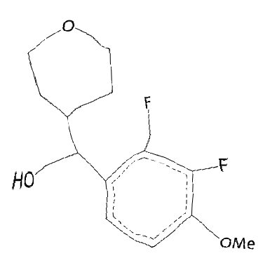 COc1ccc(C(O)C2CCOCC2)c(F)c1F